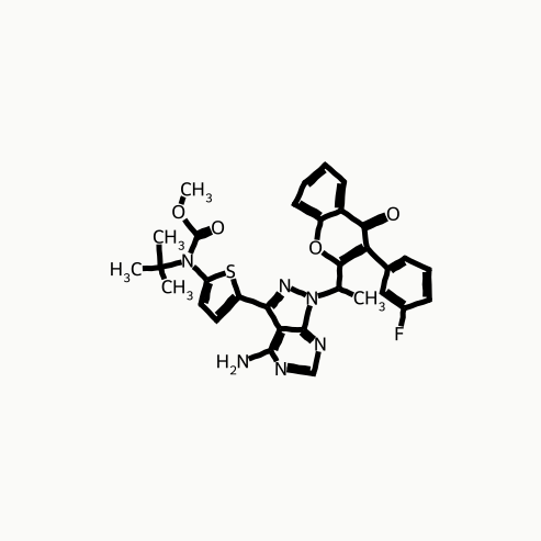 COC(=O)N(c1ccc(-c2nn(C(C)c3oc4ccccc4c(=O)c3-c3cccc(F)c3)c3ncnc(N)c23)s1)C(C)(C)C